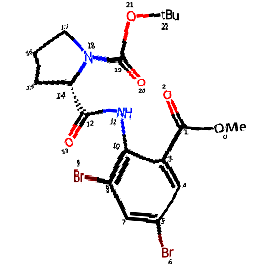 COC(=O)c1cc(Br)cc(Br)c1NC(=O)[C@@H]1CCCN1C(=O)OC(C)(C)C